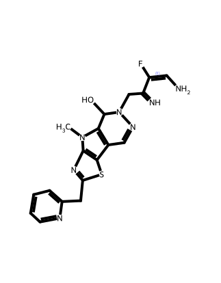 Cn1c2c(c3sc(Cc4ccccn4)nc31)C=NN(CC(=N)/C(F)=C\N)C2O